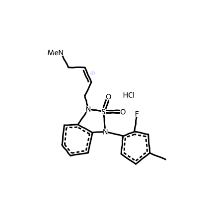 CNC/C=C\CN1c2ccccc2N(c2ccc(C)cc2F)S1(=O)=O.Cl